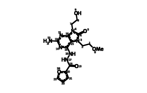 COCCn1c(=O)n(CCO)c2nc(N)nc(NNC(=O)c3ccco3)c21